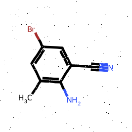 Cc1cc(Br)cc(C#N)c1N